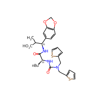 CCCC[C@H](NC(=O)N(Cc1cccs1)Cc1cccs1)C(=O)N[C@H](c1ccc2c(c1)OCO2)C(C)C(=O)O